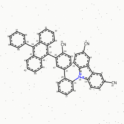 N#Cc1ccc2c(c1)c1cc(C#N)ccc1n2-c1ccccc1-c1ccc(C#N)c(-c2c3ccccc3c(-c3ccccc3)c3ccccc23)c1